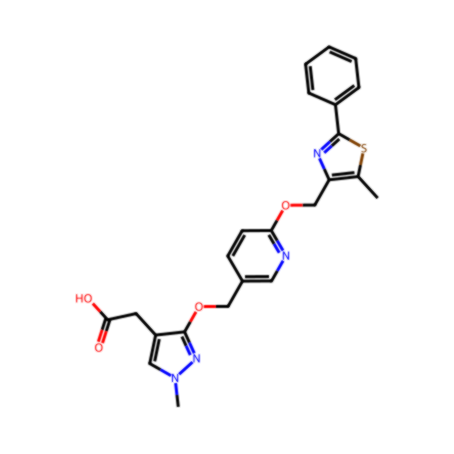 Cc1sc(-c2ccccc2)nc1COc1ccc(COc2nn(C)cc2CC(=O)O)cn1